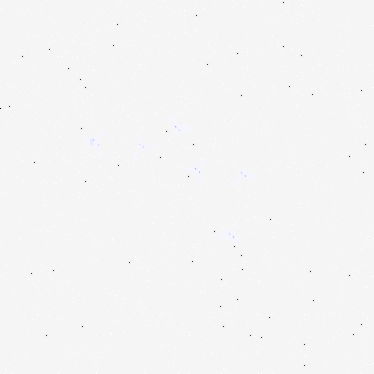 c1cnc2c(c1)CCCC2N(CCN1CCNCC1)Cc1nccc2c1[nH]c1ccccc12